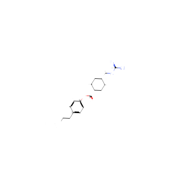 CCOC(=O)CCc1ccc(OC(=O)[C@H]2CC[C@H](CNC(=N)N)CC2)cc1